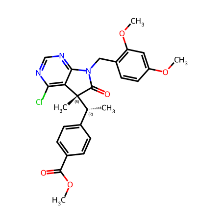 COC(=O)c1ccc([C@@H](C)[C@@]2(C)C(=O)N(Cc3ccc(OC)cc3OC)c3ncnc(Cl)c32)cc1